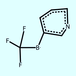 FC(F)(F)[B]c1cccnc1